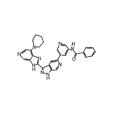 O=C(Nc1cncc(-c2cc3c(-c4nc5c(N6CCCCC6)cncc5[nH]4)n[nH]c3cn2)c1)c1ccccc1